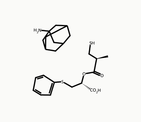 C[C@H](CS)C(=O)O[C@@H](CSc1ccccc1)C(=O)O.NC12CC3CC(CC(C3)C1)C2